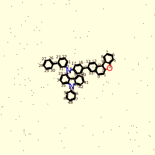 C1=CC2Oc3ccccc3C2c2ccc(-c3ccc(N(c4cccc(-c5ccccc5)c4)c4cccc5c4c4ccccc4n5-c4ccccc4)cc3)cc21